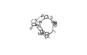 Cc1nc([C@]2(O)/C=C/C[C@H](C)[C@@H](C)S(=O)(=O)NC(=O)c3ccc4c(c3)N(C[C@@H]3CC[C@H]32)C[C@@]2(CCCc3cc(Cl)ccc32)CO4)cs1